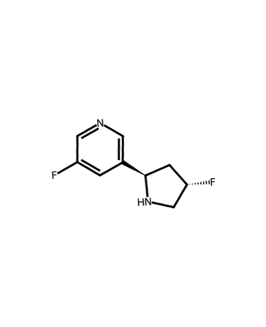 Fc1cncc([C@H]2C[C@H](F)CN2)c1